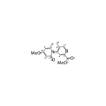 COC(=O)c1cc(-n2c(C)cc(OC)cc2=O)c(C)cn1